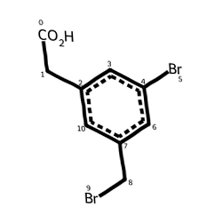 O=C(O)Cc1cc(Br)cc(CBr)c1